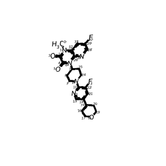 Cn1c(=O)c(=O)n(C2CCN(c3ncc(C4=CCOCC4)cc3F)CC2)c2ncc(F)cc21